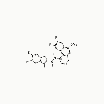 COc1nc2c(c3cc(F)c(F)cc13)[C@@H](N(C)C(=O)c1cc3cc(F)c(F)cc3[nH]1)COC2